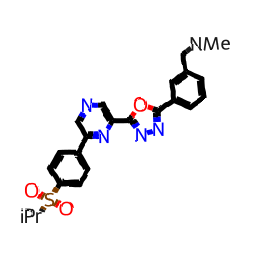 CNCc1cccc(-c2nnc(-c3cncc(-c4ccc(S(=O)(=O)C(C)C)cc4)n3)o2)c1